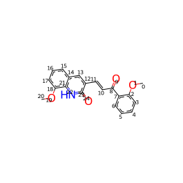 COc1ccccc1C(=O)/C=C/c1cc2cccc(OC)c2[nH]c1=O